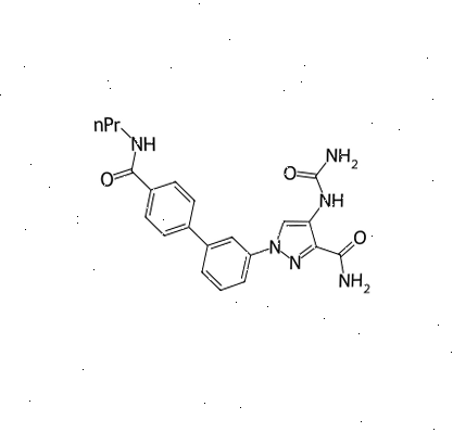 CCCNC(=O)c1ccc(-c2cccc(-n3cc(NC(N)=O)c(C(N)=O)n3)c2)cc1